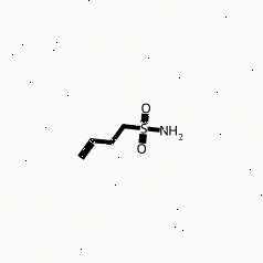 C=CCCS(N)(=O)=O